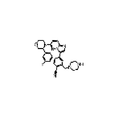 N#Cc1ccc(-c2cnc3ccc(N4CCOCC4c4cccc(F)c4)nn23)cc1CN1CCNCC1